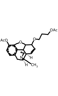 CC(=O)OCCCOC1C=C[C@H]2[C@H]3Cc4ccc(OC(C)=O)c5c4[C@@]2(CCN3C)C1O5